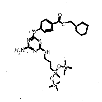 C[Si](C)(C)O[Si](C)(CCCNc1nc(N)nc(Nc2ccc(C(=O)OCC3CCCCC3)cc2)n1)O[Si](C)(C)C